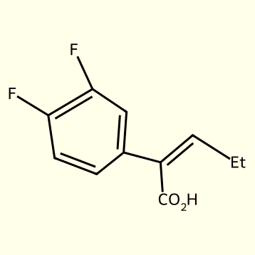 CCC=C(C(=O)O)c1ccc(F)c(F)c1